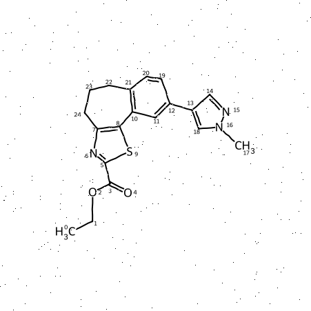 CCOC(=O)c1nc2c(s1)-c1cc(-c3cnn(C)c3)ccc1CCC2